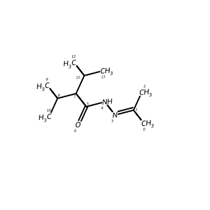 CC(C)=NNC(=O)C(C(C)C)C(C)C